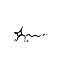 CNCCCCN(C)c1c(C(C)C)c(=S)c1=S